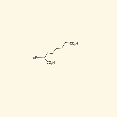 CCCC(CCCCCC(=O)O)C(=O)O